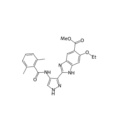 CCOc1cc2[nH]c(-c3n[nH]cc3NC(=O)c3c(C)cccc3C)nc2cc1C(=O)OC